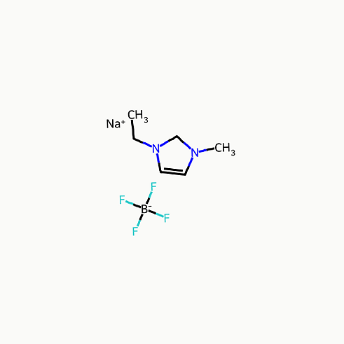 CCN1C=CN(C)C1.F[B-](F)(F)F.[Na+]